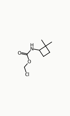 CC1(C)CCC1NC(=O)OCCl